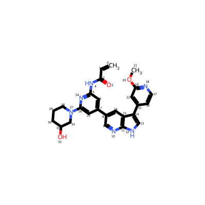 C=CC(=O)Nc1cc(-c2cnc3[nH]cc(-c4ccnc(OC)c4)c3c2)cc(N2CCCC(O)C2)n1